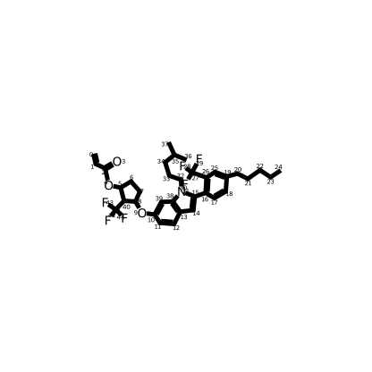 C=CC(=O)OC1CCC(Oc2ccc3cc(-c4ccc(CCCCC)cc4C(F)(F)F)n(CCCC(C)C)c3c2)C1C(F)(F)F